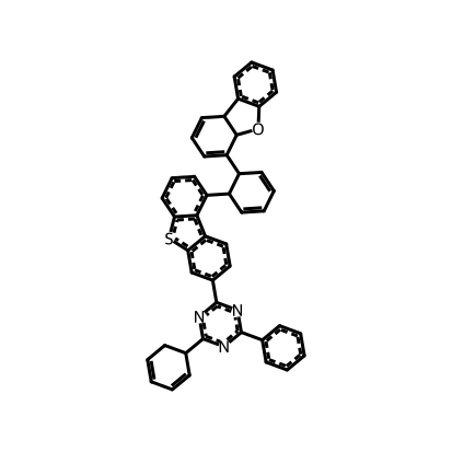 C1=CCC(c2nc(-c3ccccc3)nc(-c3ccc4c(c3)sc3cccc(C5C=CC=CC5C5=CC=CC6c7ccccc7OC56)c34)n2)C=C1